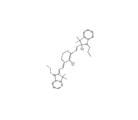 [2H]C1(/C=C/C2=C(Cl)C(=C/C=C3/N(CCC)c4ccccc4C3(C)C)/CCC2)N(CCC)c2ccccc2C1(C)C